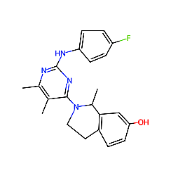 Cc1nc(Nc2ccc(F)cc2)nc(N2CCc3ccc(O)cc3C2C)c1C